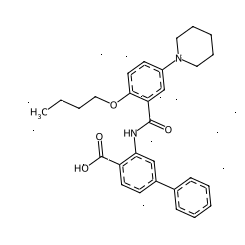 CCCCOc1ccc(N2CCCCC2)cc1C(=O)Nc1cc(-c2ccccc2)ccc1C(=O)O